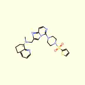 CN(Cc1cn2c(N3CCN(S(=O)(=O)c4cccs4)CC3)nccc2n1)[C@H]1CCCc2cccnc21